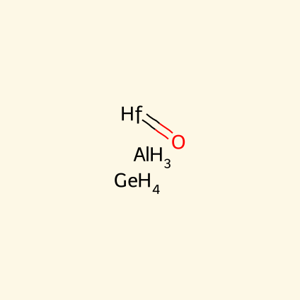 [AlH3].[GeH4].[O]=[Hf]